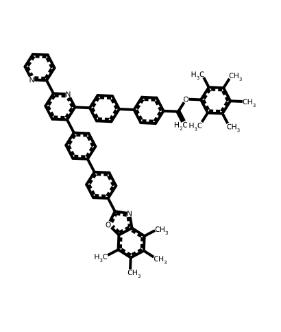 C=C(Oc1c(C)c(C)c(C)c(C)c1C)c1ccc(-c2ccc(-c3nc(-c4ccccn4)ccc3-c3ccc(-c4ccc(-c5nc6c(C)c(C)c(C)c(C)c6o5)cc4)cc3)cc2)cc1